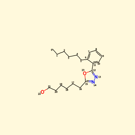 CCCCCCc1ccccc1-c1nnc(CCCCCC[O])o1